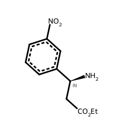 CCOC(=O)C[C@H](N)c1cccc([N+](=O)[O-])c1